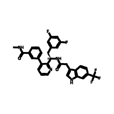 CNC(=O)c1cccc(-c2cccnc2[C@H](Cc2cc(F)cc(F)c2)NC(=O)Cc2c[nH]c3cc(C(F)(F)F)ccc23)c1